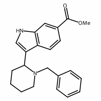 COC(=O)c1ccc2c(C3CCCCN3Cc3ccccc3)c[nH]c2c1